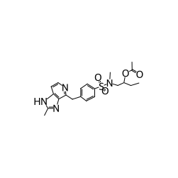 CCC(CN(C)S(=O)(=O)c1ccc(Cc2nccc3[nH]c(C)nc23)cc1)OC(C)=O